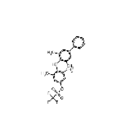 Cc1cc(OS(=O)(=O)C(F)(F)F)cc(C)c1Bc1c(C)cc(-c2ccccc2)cc1C